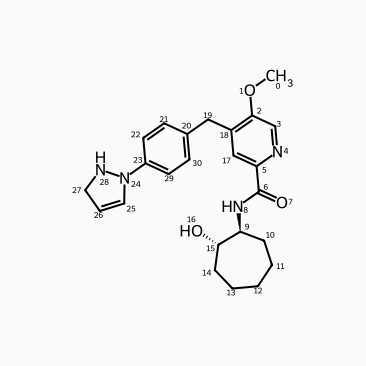 COc1cnc(C(=O)N[C@H]2CCCCC[C@@H]2O)cc1Cc1ccc(N2C=CCN2)cc1